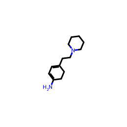 NC1=CC=C(CCN2CCCCC2)CC1